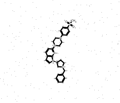 CS(=O)(=O)c1ccc(N2CCN(c3ccc4ccn([C@H]5CCN(Cc6ccccc6)C5)c4n3)CC2)cc1